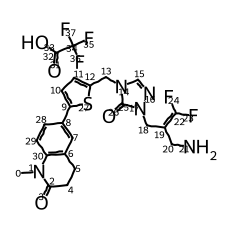 CN1C(=O)CCc2cc(-c3ccc(Cn4cnn(CC(CN)=C(F)F)c4=O)s3)ccc21.O=C(O)C(F)(F)F